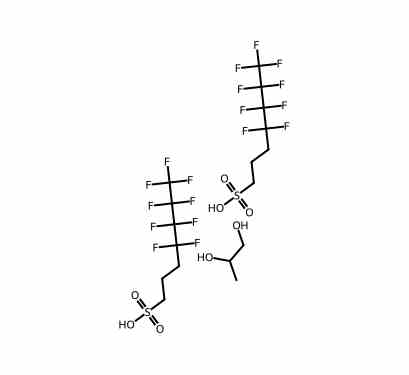 CC(O)CO.O=S(=O)(O)CCCC(F)(F)C(F)(F)C(F)(F)C(F)(F)F.O=S(=O)(O)CCCC(F)(F)C(F)(F)C(F)(F)C(F)(F)F